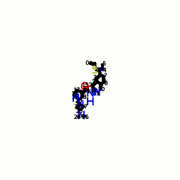 C=CS/C(=C\C)c1ccc2cnc(NC(=O)c3ccnc(N4CC(N(C)C)C4)c3)cc2c1